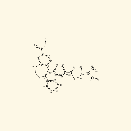 COC(=O)c1ccc2c(c1)CCCC(c1ccccc1)=C2c1ccc(N2CCC(C(OC)OC)CC2)cc1